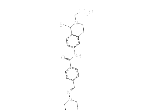 CCC1c2ccc(NC(=O)c3ccc(C=NN4CCSCC4)cc3)cc2CCN1CC(=O)O